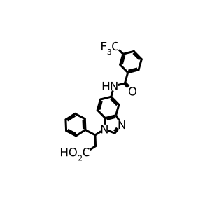 O=C(O)CC(c1ccccc1)n1cnc2cc(NC(=O)c3cccc(C(F)(F)F)c3)ccc21